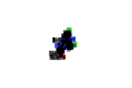 CCN1[C@@H](C)[C@@H](c2nc3cc(C(=O)OC)c(C)cc3[nH]2)[C@H](c2cccc(Cl)c2F)[C@]12C(=O)Nc1cc(Cl)ccc12